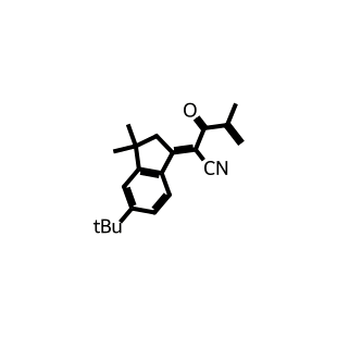 C=C(C)C(=O)/C(C#N)=C1\CC(C)(C)c2cc(C(C)(C)C)ccc21